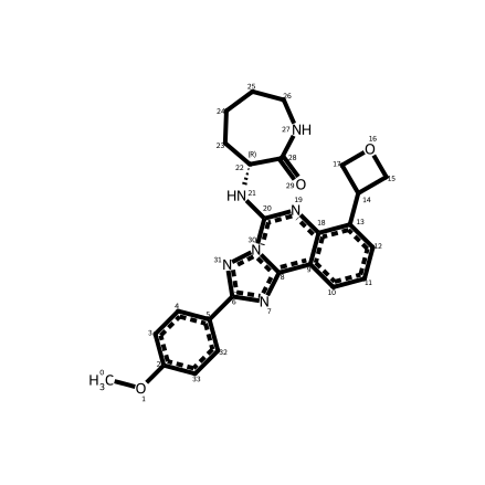 COc1ccc(-c2nc3c4cccc(C5COC5)c4nc(N[C@@H]4CCCCNC4=O)n3n2)cc1